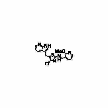 COc1ncccc1CNc1nc(Cl)c(Cc2c[nH]c3ncccc23)s1